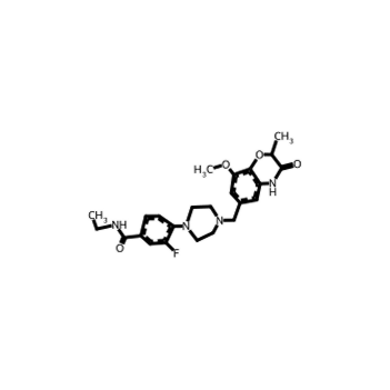 CCNC(=O)c1ccc(N2CCN(Cc3cc4c(c(OC)c3)OC(C)C(=O)N4)CC2)c(F)c1